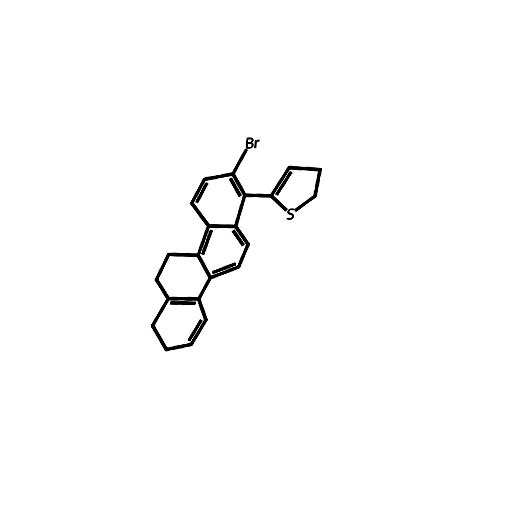 Brc1ccc2c3c(ccc2c1C1=CCCS1)C1=C(CCC=C1)CC3